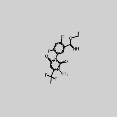 CCOC(=N)c1cc(-n2c(=O)cc(C(F)(F)F)n(N)c2=O)c(F)cc1Cl